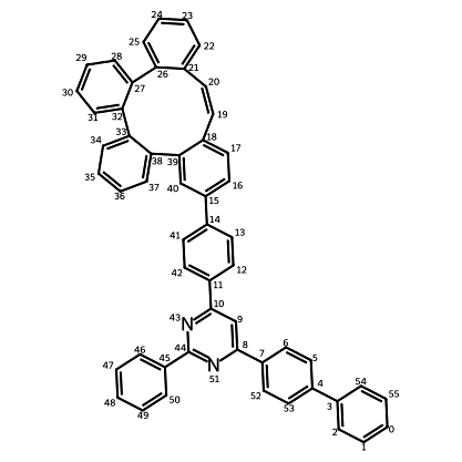 c1ccc(-c2ccc(-c3cc(-c4ccc(-c5ccc6ccc7ccccc7c7ccccc7c7ccccc7c6c5)cc4)nc(-c4ccccc4)n3)cc2)cc1